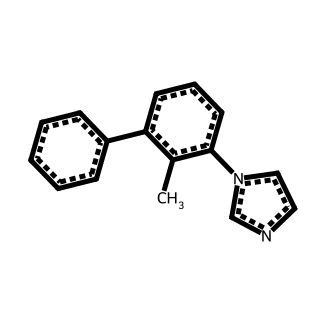 Cc1c(-c2ccccc2)cccc1-n1ccnc1